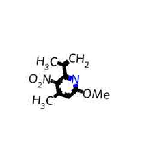 C=C(C)c1nc(OC)cc(C)c1[N+](=O)[O-]